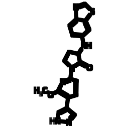 COc1nc(N2CCC(Nc3ccc4ncsc4c3)C2=O)ccc1-c1cn[nH]c1